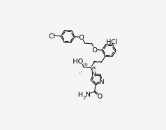 C[C@H](O)[C@@H](CCc1ccccc1OCCOc1ccc(Cl)cc1)n1cnc(C(N)=O)c1.Cl